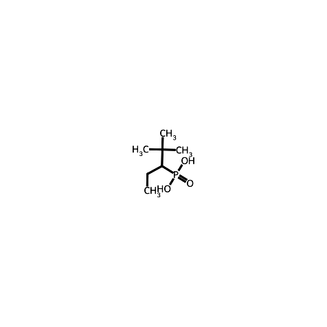 CCC(C(C)(C)C)P(=O)(O)O